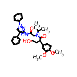 COc1ccc(C(CCO)C(=O)N(CC(=O)Nc2nn(-c3ccccc3)cc2-c2ccccc2)C(C)C)cc1OC